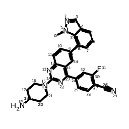 Cn1ncc2cccc(-c3ccc4nc(N5CCC(N)CC5)nc(-c5ccc(C#N)c(F)c5)c4c3)c21